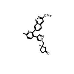 COc1cc2ccc(-c3nc(C)ccc3-c3cnn(C[C@@]4(C)CCC(=O)C4)c3)cc2nn1